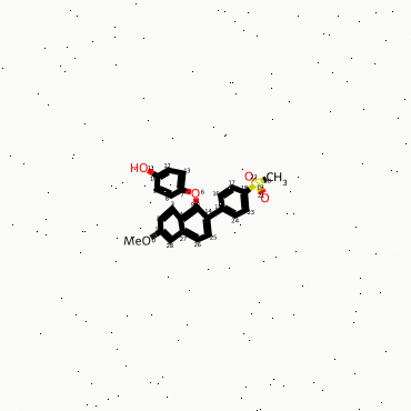 COc1ccc2c(Oc3ccc(O)cc3)c(-c3ccc(S(C)(=O)=O)cc3)ccc2c1